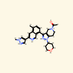 CC(=O)N1CCc2c(c(-c3ccc(C)c4cc(-c5cnn(C)c5)ncc34)nn2C2CCOCC2)C1